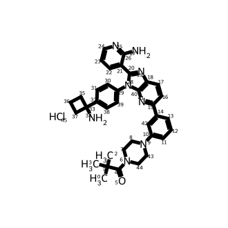 CC(C)(C)C(=O)N1CCN(c2cccc(-c3ccc4nc(-c5cccnc5N)n(-c5ccc(C6(N)CCC6)cc5)c4n3)c2)CC1.Cl